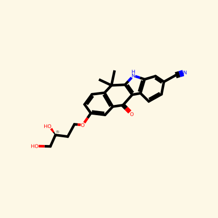 CC1(C)c2ccc(OCC[C@H](O)CO)cc2C(=O)c2c1[nH]c1cc(C#N)ccc21